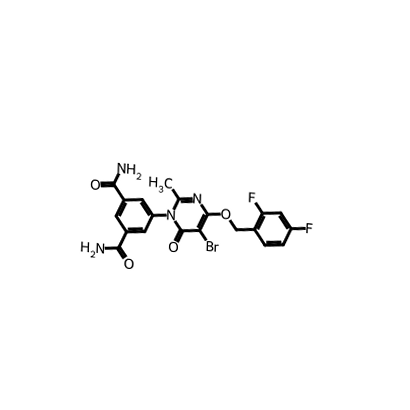 Cc1nc(OCc2ccc(F)cc2F)c(Br)c(=O)n1-c1cc(C(N)=O)cc(C(N)=O)c1